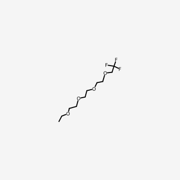 CCOCCOCCOCCOCC(F)(F)F